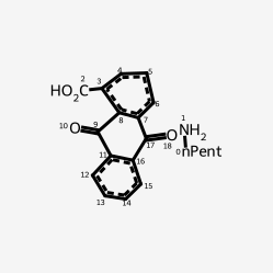 CCCCCN.O=C(O)c1cccc2c1C(=O)c1ccccc1C2=O